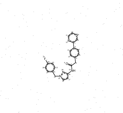 O=C(Cc1ccc(-c2cnccn2)cc1)Nc1ccn(Cc2ccc(F)cc2)n1